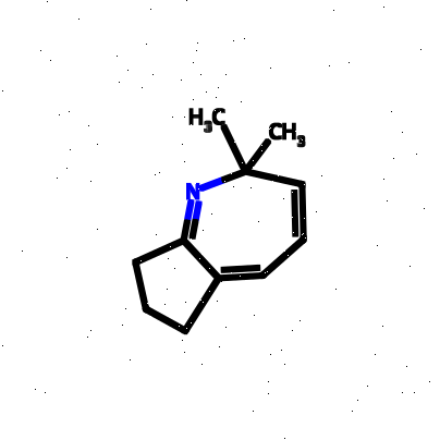 CC1(C)C=CC=C2CCCC2=N1